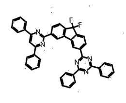 FC1(F)c2ccc(-c3nc(-c4ccccc4)cc(-c4ccccc4)n3)cc2-c2cc(-c3nc(-c4ccccc4)nc(-c4ccccc4)n3)ccc21